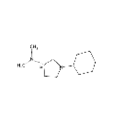 CN(C)[C@H]1CCN(C2CCCCC2)C1